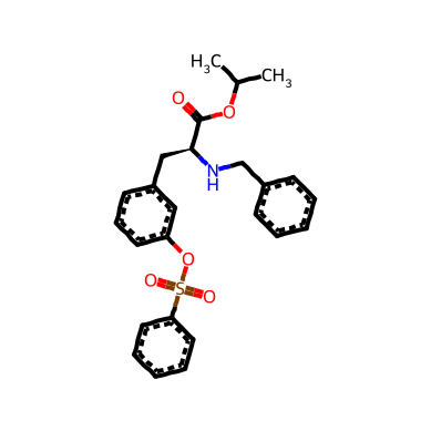 CC(C)OC(=O)[C@H](Cc1cccc(OS(=O)(=O)c2ccccc2)c1)NCc1ccccc1